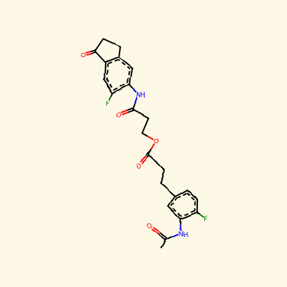 CC(=O)Nc1cc(CCC(=O)OCCC(=O)Nc2cc3c(cc2F)C(=O)CC3)ccc1F